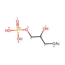 CC(=O)OCC(O)COP(=O)(O)O